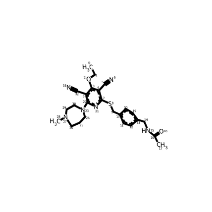 CCOc1c(C#N)c(SCc2ccc(CNC(C)=O)cc2)nc(N2CCCN(C)CC2)c1C#N